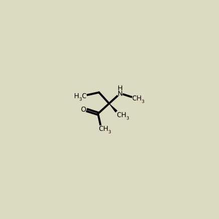 CC[C@](C)(NC)C(C)=O